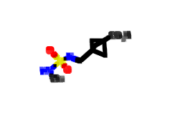 CC(C)(C)NS(=O)(=O)N=CC12CC(C(=O)O)(C1)C2